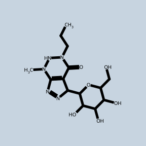 CCCN1NN(C)C2=C(C1=O)C(C1OC(CO)C(O)C(O)C1O)N=N2